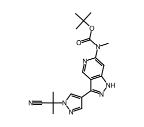 CN(C(=O)OC(C)(C)C)c1cc2[nH]nc(-c3cnn(C(C)(C)C#N)c3)c2cn1